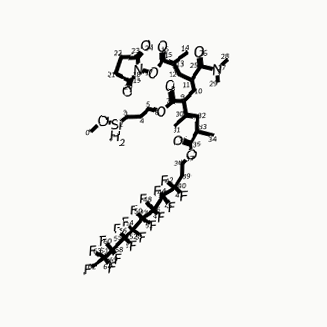 CO[SiH2]CCCOC(=O)C(CC(CC(C)C(=O)ON1C(=O)CCC1=O)C(=O)N(C)C)C(C)CC(C)C(=O)OCCC(F)(F)C(F)(F)C(F)(F)C(F)(F)C(F)(F)C(F)(F)C(F)(F)C(F)(F)F